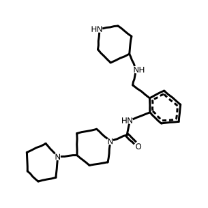 O=C(Nc1ccccc1CNC1CCNCC1)N1CCC(N2CCCCC2)CC1